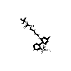 Cc1ccc(-c2ccccc2S(N)(=O)=O)c(OCCCCNC(=O)OC(C)(C)C)c1